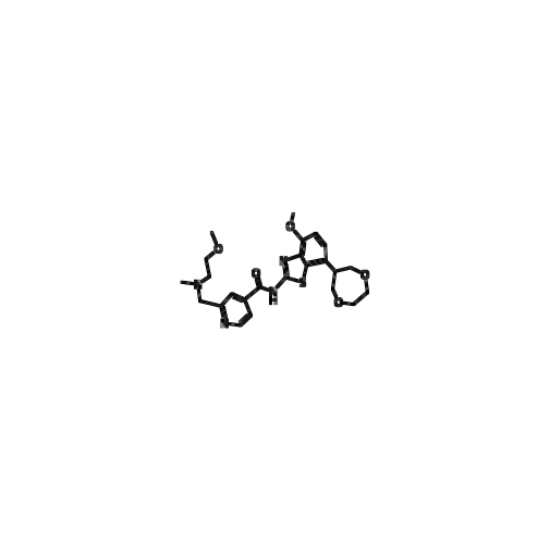 COCCN(C)Cc1cc(C(=O)Nc2nc3c(OC)ccc(C4COCCOC4)c3s2)ccn1